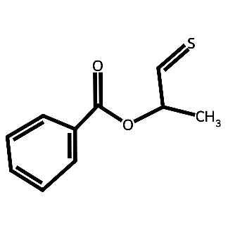 CC(C=S)OC(=O)c1ccccc1